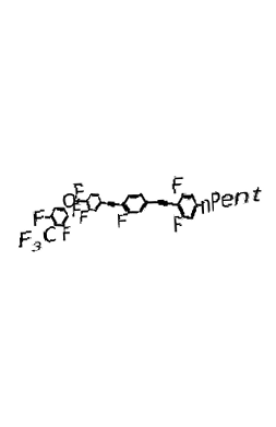 CCCCCc1cc(F)c(C#Cc2ccc(C#Cc3ccc(C(F)(F)Oc4cc(F)c(C(F)(F)F)c(F)c4)c(F)c3)c(F)c2)c(F)c1